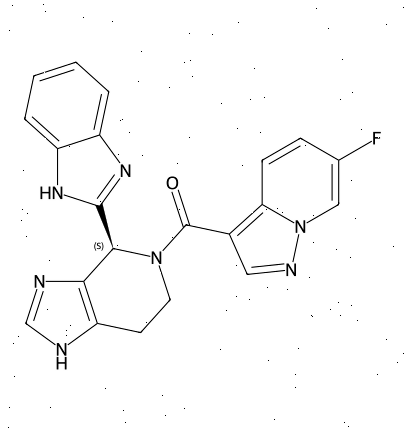 O=C(c1cnn2cc(F)ccc12)N1CCc2[nH]cnc2[C@H]1c1nc2ccccc2[nH]1